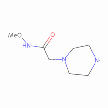 CONC(=O)CN1CC[N]CC1